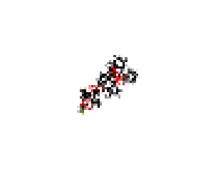 CC(C)C1=CC2CC3(C=O)C4CCC(C)C4CC2(CO[C@H]2C[C@@H]4OC(=S)O[C@@H]4[C@@H](C)O2)C13C(=O)OC(c1ccccc1)c1ccccc1